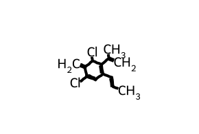 C=C(C)C1=C(/C=C/C)C=C(Cl)C(=C)C1Cl